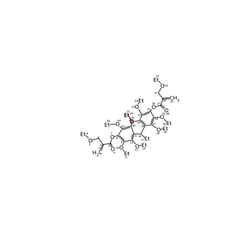 C=C(COCC)C(=O)Oc1c(OCC)c(OCC)c(C(CC)c2c(OCC)c(OCC)c(OC(=O)C(=C)COCC)c(OCC)c2OCC)c(OCC)c1OCC